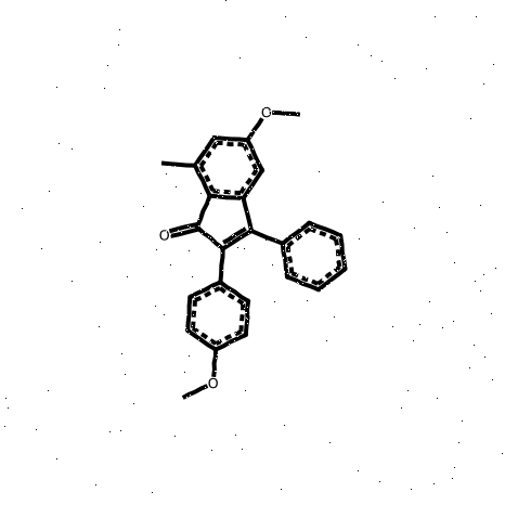 COc1ccc(C2=C(c3ccccc3)c3cc(OC)cc(C)c3C2=O)cc1